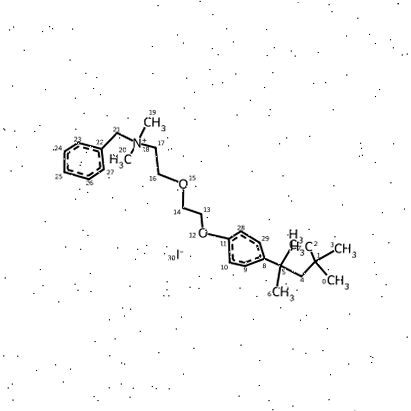 CC(C)(C)CC(C)(C)c1ccc(OCCOCC[N+](C)(C)Cc2ccccc2)cc1.[I-]